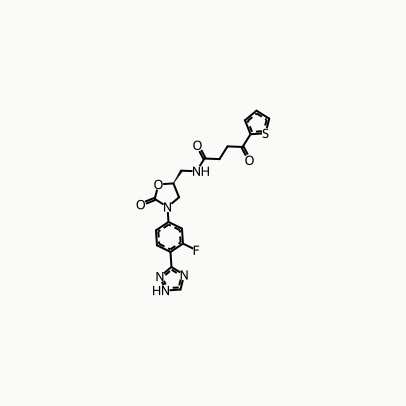 O=C(CCC(=O)c1cccs1)NC[C@H]1CN(c2ccc(-c3nc[nH]n3)c(F)c2)C(=O)O1